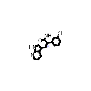 NC(=O)/C(=C\c1c[nH]c2ncccc12)c1cccc(Cl)c1